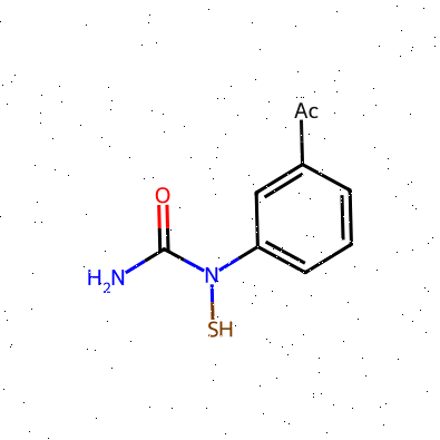 CC(=O)c1cccc(N(S)C(N)=O)c1